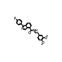 COc1ccc(CCNC(=O)c2cccc3c2cnn3-c2ccc(F)cc2)cc1OC